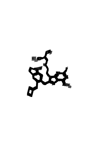 CC(C)CNCCn1c(Cc2cc3c(cc2CC2CCC2)CCN3)nc2c(N)nc(F)nc21